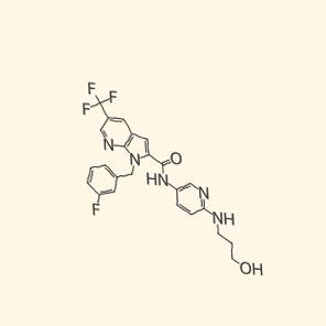 O=C(Nc1ccc(NCCCO)nc1)c1cc2cc(C(F)(F)F)cnc2n1Cc1cccc(F)c1